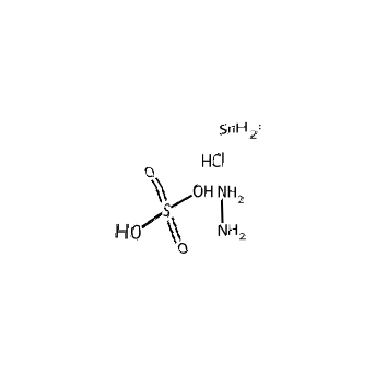 Cl.NN.O=S(=O)(O)O.[SnH2]